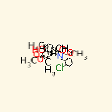 COCC(=O)N(Cc1ccccc1Cl)C[C@@H](C)[C@@H]1CC[C@@H](C)[C@]2(O)[C][C@@H](OC(C)=O)C(C)=C[C@H]12